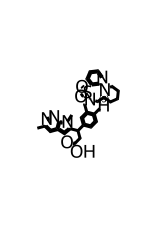 Cc1cc2cc(C(CC(=O)O)c3ccc(C)c(CN4C[C@@H]5CCCCN5c5ncccc5S4(=O)=O)c3)n(C)c2nn1